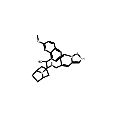 COc1ccc2nccc(C(O)CN3C4CCC3CC(NCC3=CC5=CNSN5C=C3)C4)c2n1